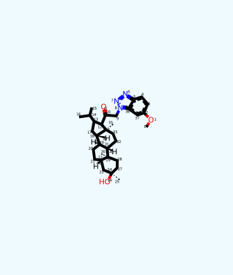 COc1ccc2nnn(CC(=O)C3C(C(C)C)C[C@H]4[C@@H]5CC[C@H]6C[C@](C)(O)CC[C@]6(C)[C@H]5CC[C@]34C)c2c1